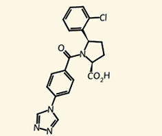 O=C(O)[C@@H]1CC[C@H](c2ccccc2Cl)N1C(=O)c1ccc(-n2cnnc2)cc1